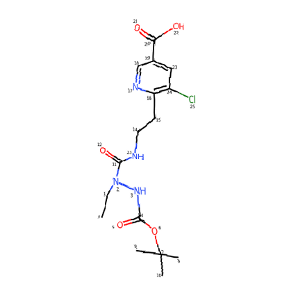 CCN(NC(=O)OC(C)(C)C)C(=O)NCCc1ncc(C(=O)O)cc1Cl